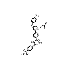 CCS(=O)(=O)c1ccc([C@H](CO)NC(=O)c2ccc(N3C[C@@H](Oc4ccc(C(F)(F)F)cc4)C[C@@H]3COC(F)F)cc2)cc1